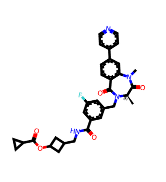 C[C@@H]1C(=O)N(C)c2cc(-c3ccncc3)ccc2C(=O)N1Cc1cc(F)cc(C(=O)NCC2CC(OC(=O)C3CC3)C2)c1